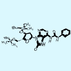 CC(C)(C)[Si](C)(C)OC[C@H]1O[C@@H](n2c(=O)[nH]c3c(NC(=O)Nc4ccccc4)ncnc32)CC1O[Si](C)(C)C(C)(C)C